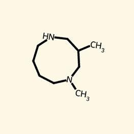 CC1CNCCCCN(C)C1